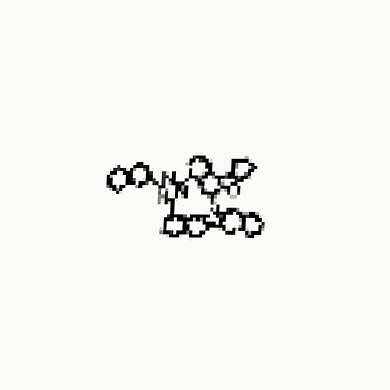 c1ccc(-c2nc(-c3ccc4ccccc4c3)nc(-c3cccc4c3cc(-n3c5ccccc5c5cc6ccccc6cc53)c3oc5ccccc5c34)n2)cc1